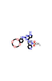 CN(c1cnccc1CNc1nc(Nc2ccc3c(c2)OCCOCCOCCO3)nc2[nH]ccc12)S(C)(=O)=O